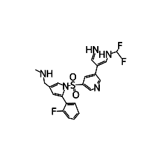 CNCc1cc(-c2ccccc2F)n(S(=O)(=O)c2cncc(/C(C=N)=C/NC(F)F)c2)c1